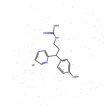 COc1ccc(C(CCNC(=N)SC)c2ccccn2)cc1.I